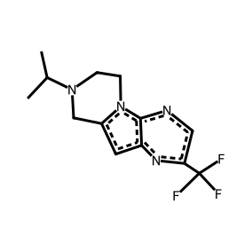 CC(C)N1CCn2c(cc3nc(C(F)(F)F)cnc32)C1